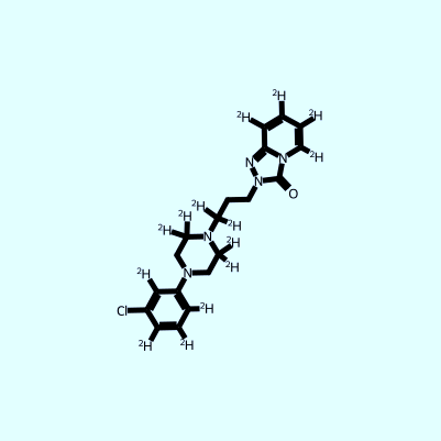 [2H]c1c([2H])c(Cl)c([2H])c(N2CC([2H])([2H])N(C([2H])([2H])CCn3nc4c([2H])c([2H])c([2H])c([2H])n4c3=O)C([2H])([2H])C2)c1[2H]